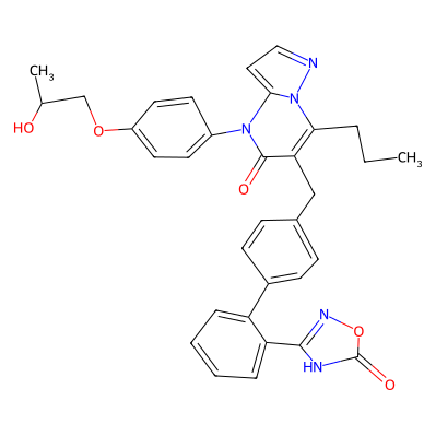 CCCc1c(Cc2ccc(-c3ccccc3-c3noc(=O)[nH]3)cc2)c(=O)n(-c2ccc(OCC(C)O)cc2)c2ccnn12